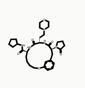 O=C(NC1CCCC1)[C@@H]1CCCCOc2cccc(c2)C[C@H](N2CCCC2=O)C(=O)N[C@@H](CCN2CCOCC2)C(=O)N1